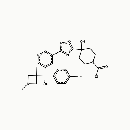 CCC(=O)N1CCC(O)(c2nc(-c3cncc([C@@](O)(c4ccc(C(C)C)cc4)C4(C)CN(C)C4)c3)no2)CC1